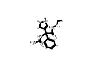 CCONC(=O)C(NC(N)=O)(c1ccccc1)c1cn[nH]c1